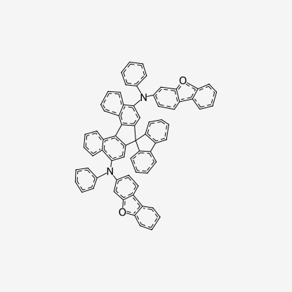 c1ccc(N(c2ccc3c(c2)oc2ccccc23)c2cc3c(c4ccccc24)-c2c(cc(N(c4ccccc4)c4ccc5c(c4)oc4ccccc45)c4ccccc24)C32c3ccccc3-c3ccccc32)cc1